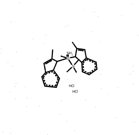 CC1=Cc2ccccc2[CH]1[Zr]([CH3])(=[SiH2])([CH]1C(C)=Cc2ccccc21)[Si](C)(C)C.Cl.Cl